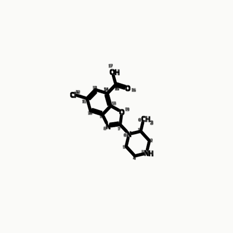 CC1CNCCN1c1nc2cc(Cl)cc(C(=O)O)c2o1